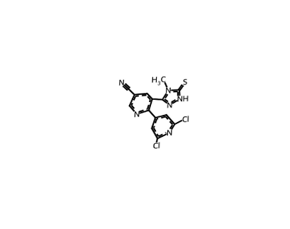 Cn1c(-c2cc(C#N)cnc2-c2cc(Cl)nc(Cl)c2)n[nH]c1=S